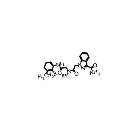 BC1=C(C)CCC=C1NC(=O)CN(C(=O)Cn1nc(C(N)=O)c2ccccc21)C(C)C